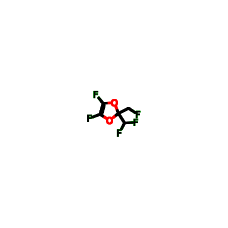 FCC1(C(F)F)OC(F)=C(F)O1